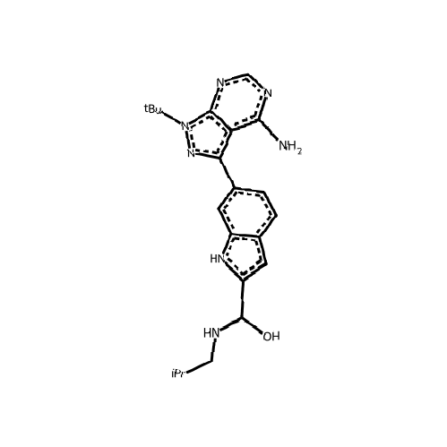 CC(C)CNC(O)c1cc2ccc(-c3nn(C(C)(C)C)c4ncnc(N)c34)cc2[nH]1